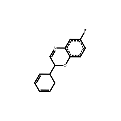 Fc1ccc2c(c1)N=CC(C1C=CC=CC1)O2